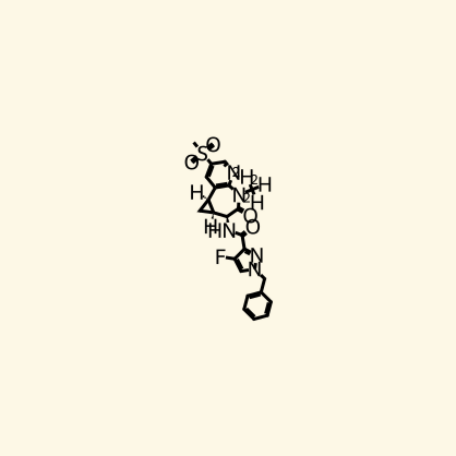 [2H]C([2H])([2H])N1C(=O)[C@@H](NC(=O)c2nn(Cc3ccccc3)cc2F)[C@H]2C[C@H]2c2cc(S(C)(=O)=O)cnc21